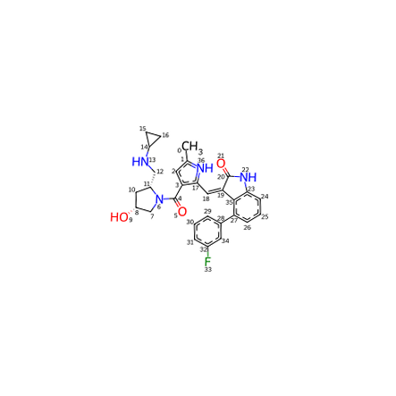 Cc1cc(C(=O)N2C[C@H](O)C[C@@H]2CNC2CC2)c(/C=C2\C(=O)Nc3cccc(-c4cccc(F)c4)c32)[nH]1